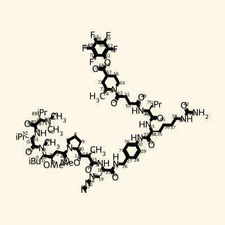 CC[C@H](C)[C@@H]([C@@H](CC(=O)N1CCC[C@H]1[C@H](OC)[C@@H](C)C(=O)N[C@@H](CN=[N+]=[N-])C(=O)NCc1ccc(NC(=O)[C@H](CCCCNC(N)=O)NC(=O)[C@@H](NC(=O)CCC(=O)N2CCC(C(=O)Oc3c(F)c(F)c(F)c(F)c3F)CC2C)C(C)C)cc1)OC)N(C)C(=O)[C@@H](NC(=O)[C@H](C(C)C)N(C)C)C(C)C